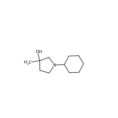 CC1(O)CCN(C2CCCCC2)C1